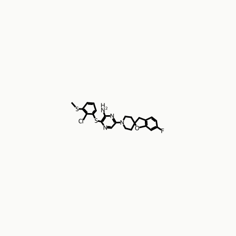 CSc1cccc(Sc2ncc(N3CCC4(CC3)Cc3ccc(F)cc3O4)nc2N)c1Cl